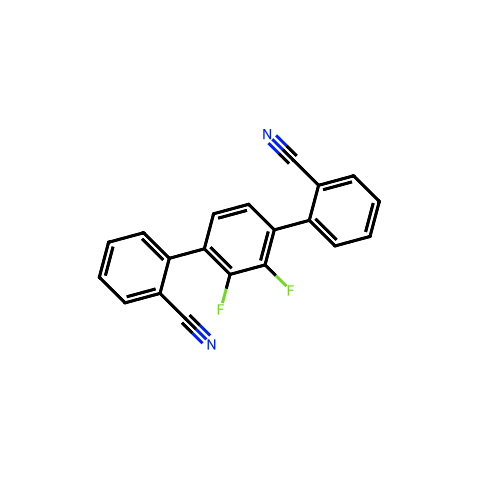 N#Cc1ccccc1-c1ccc(-c2ccccc2C#N)c(F)c1F